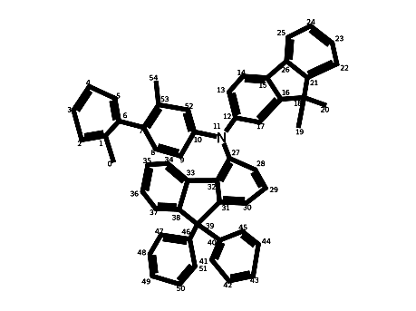 Cc1ccccc1-c1ccc(N(c2ccc3c(c2)C(C)(C)c2ccccc2-3)c2cccc3c2-c2ccccc2C3(c2ccccc2)c2ccccc2)cc1C